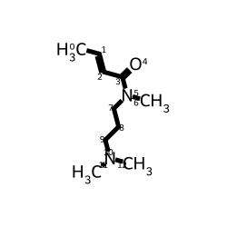 C/C=C/C(=O)N(C)CCCN(C)C